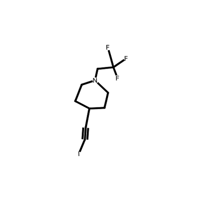 FC(F)(F)CN1CCC(C#CI)CC1